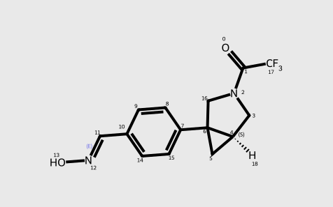 O=C(N1C[C@H]2CC2(c2ccc(/C=N/O)cc2)C1)C(F)(F)F